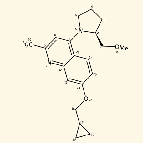 COC[C@@H]1CCCN1c1cc(C)nc2cc(OCC3CC3)ccc12